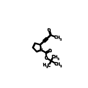 CC(=O)C#CC1CCCN1C(=O)OC(C)(C)C